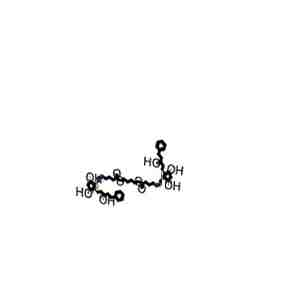 O=C(CCC/C=C\C[C@@H]1[C@@H](CC[C@@H](O)CCc2ccccc2)[C@H](O)C[C@@H]1O)OCCCCOC(=O)CCC/C=C\C[C@@H]1[C@@H](CC[C@@H](O)CCc2ccccc2)[C@H](O)C[C@@H]1O